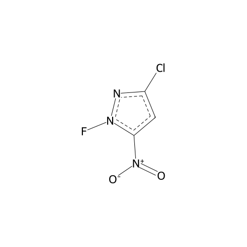 O=[N+]([O-])c1cc(Cl)nn1F